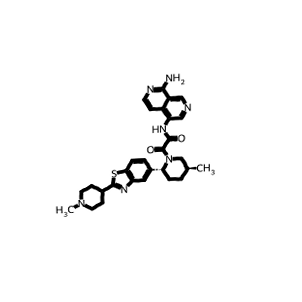 C[C@H]1CC[C@H](c2ccc3sc(C4CCN(C)CC4)nc3c2)N(C(=O)C(=O)Nc2cncc3c(N)nccc23)C1